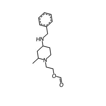 CC1CC(NCc2ccccc2)CCN1CCOC=O